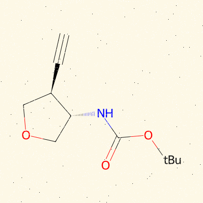 C#C[C@@H]1COC[C@H]1NC(=O)OC(C)(C)C